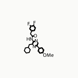 COc1ccc(-c2cnc(NC(=O)Cc3ccc(F)c(F)c3)c(CC3CCCCC3)n2)cc1